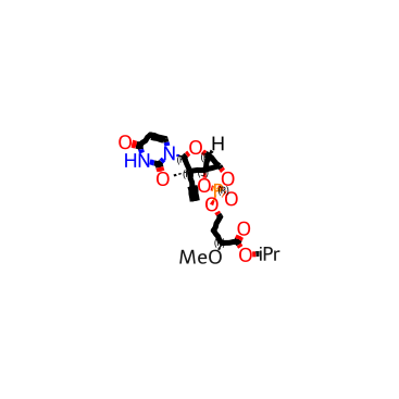 C#C[C@@]1(C)[C@H](n2ccc(=O)[nH]c2=O)O[C@@H]2C3O[P@@](=O)(OCC[C@@H](OC)C(=O)OC(C)C)O[C@]321